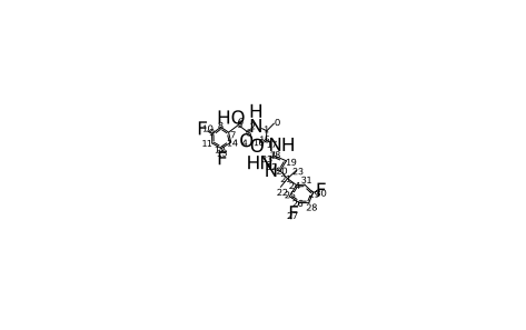 CC(NC(=O)C(O)c1cc(F)cc(F)c1)C(=O)Nc1cc(C(C)(C)c2cc(F)cc(F)c2)n[nH]1